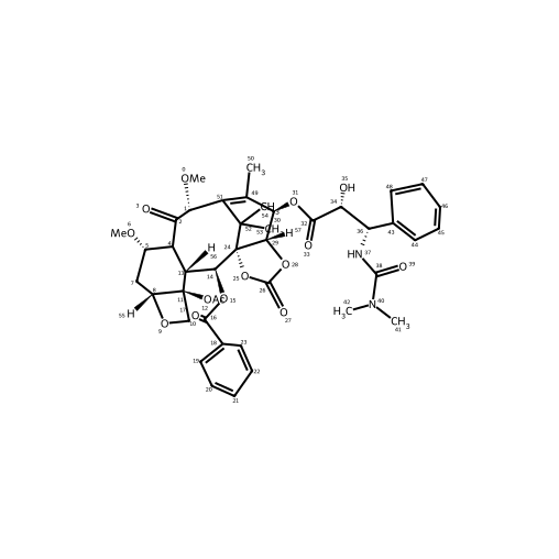 CO[C@H]1C(=O)C2[C@@H](OC)C[C@H]3OC[C@@]3(OC(C)=O)[C@H]2[C@H](OC(=O)c2ccccc2)[C@]23OC(=O)O[C@H]2[C@H](OC(=O)[C@H](O)[C@@H](NC(=O)N(C)C)c2ccccc2)C(C)=C1C3(C)C